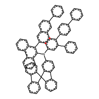 c1ccc(-c2ccc(-c3ccc(N(c4ccc5c(c4)C4(c6ccccc6-c6ccccc64)c4ccccc4-5)c4c(-c5ccc6cc(-c7ccccc7)ccc6c5)c5ccccc5c5ccccc45)cc3-c3ccccc3)cc2)cc1